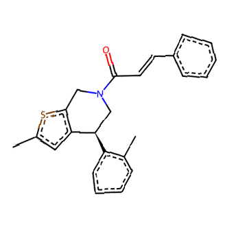 Cc1cc2c(s1)CN(C(=O)/C=C/c1ccccc1)C[C@H]2c1ccccc1C